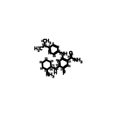 CN(C)c1ccc(Nc2nc(N[C@@H]3CCCCC3N)c(F)cc2C(N)=O)cn1